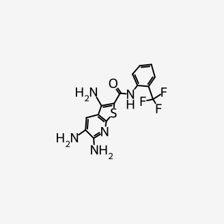 Nc1cc2c(N)c(C(=O)Nc3ccccc3C(F)(F)F)sc2nc1N